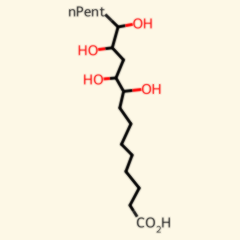 CCCCCC(O)C(O)CC(O)C(O)CCCCCCCC(=O)O